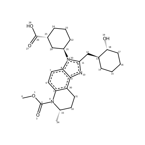 COC(=O)N1c2ccc3c(nc(C[C@@H]4CCCC[C@H]4O)n3[C@@H]3CCC[C@@H](C(=O)O)C3)c2CC[C@@H]1C